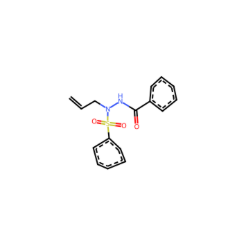 C=CCN(NC(=O)c1ccccc1)S(=O)(=O)c1ccccc1